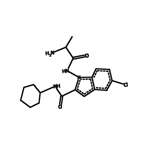 CC(N)C(=O)Nn1c(C(=O)NC2CCCCC2)cc2cc(Cl)ccc21